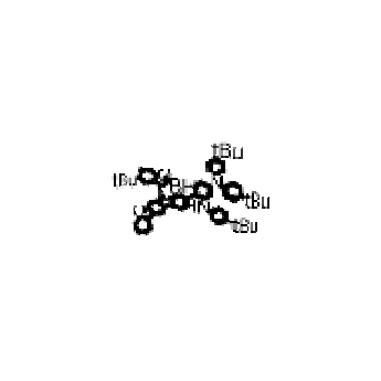 CC(C)(C)c1ccc(Nc2cc(N(c3ccc(C(C)(C)C)cc3)c3ccc(C(C)(C)C)cc3)ccc2-c2ccc3c4cc5c(cc4n4c3c2Bc2oc3ccc(C(C)(C)C)cc3c2-4)oc2ccccc25)cc1